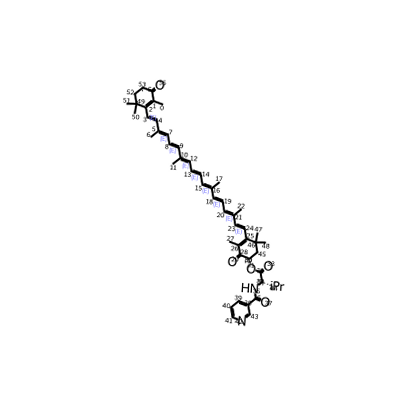 CC1=C(/C=C/C(C)=C/C=C/C(C)=C/C=C/C=C(C)/C=C/C=C(C)/C=C/C2=C(C)C(=O)[C@@H](OC(=O)[C@@H](NC(=O)c3cccnc3)C(C)C)CC2(C)C)C(C)(C)C[CH]C1=O